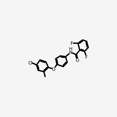 Cc1cc(Cl)ccc1Oc1ccc(NC(=O)c2c(F)cccc2F)cc1